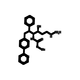 CC(C)(C)OC(=O)N[C@@H](C(Cc1ccc(-c2ccccn2)cc1)c1ccccc1)[C@@H](O)CCNC(=O)O